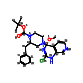 CO[C@@]1(N2CCN(C(=O)OC(C)(C)C)C(Cc3ccccc3)C2)N=C(Cl)Nc2cnccc21